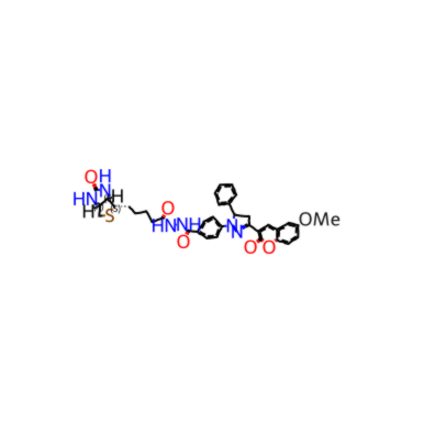 COc1ccc2oc(=O)c(C3=NN(c4ccc(C(=O)NNC(=O)CCCC[C@@H]5SC[C@@H]6NC(=O)N[C@@H]65)cc4)C(c4ccccc4)C3)cc2c1